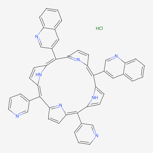 C1=Cc2nc1c(-c1cccnc1)c1ccc([nH]1)c(-c1cnc3ccccc3c1)c1nc(c(-c3cnc4ccccc4c3)c3ccc([nH]3)c2-c2cccnc2)C=C1.Cl